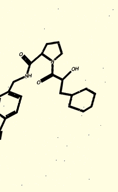 N#Cc1ccc(CNC(=O)C2CCCN2C(=O)C(O)CC2CCCCC2)cc1